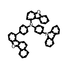 c1ccc2c(c1)ccc1c2oc2cccc(-c3ccc(N(c4ccc(-n5c6ccccc6c6ccccc65)cc4)c4cccc5oc6ccccc6c45)cc3)c21